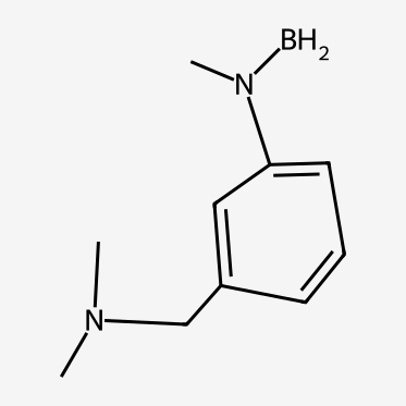 BN(C)c1cccc(CN(C)C)c1